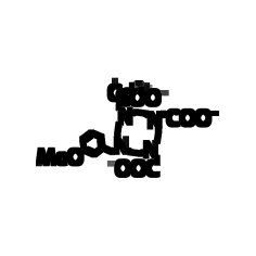 COc1cccc(CN2CCN(CC(=O)[O-])CCN(CC(=O)[O-])CCN(CC(=O)[O-])CC2)c1.[Gd+3]